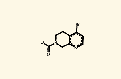 O=C(O)N1CCc2c(Br)ccnc2C1